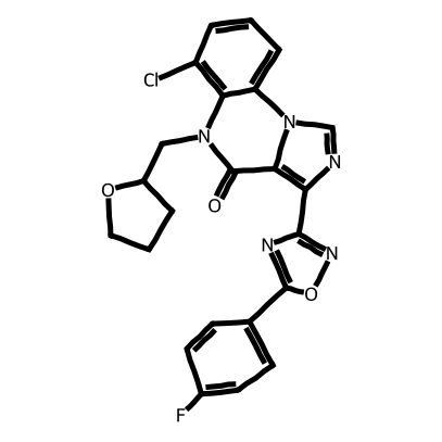 O=c1c2c(-c3noc(-c4ccc(F)cc4)n3)ncn2c2cccc(Cl)c2n1CC1CCCO1